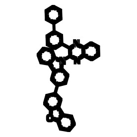 c1ccc(-c2cccc(-c3nc4ccccc4nc3-n3c4ccccc4c4cc(-c5ccc6oc7ccccc7c6c5)ccc43)c2)cc1